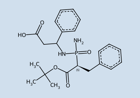 CC(C)(C)OC(=O)[C@H](Cc1ccccc1)P(N)(=O)NC(CC(=O)O)c1ccccc1